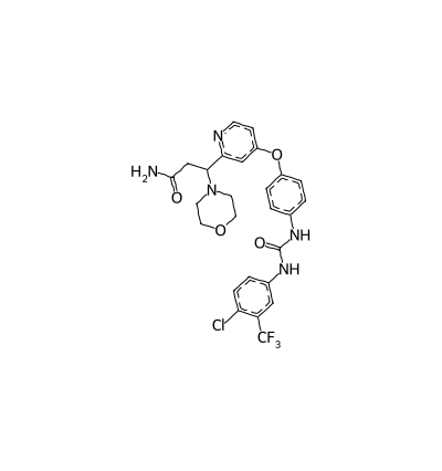 NC(=O)CC(c1cc(Oc2ccc(NC(=O)Nc3ccc(Cl)c(C(F)(F)F)c3)cc2)ccn1)N1CCOCC1